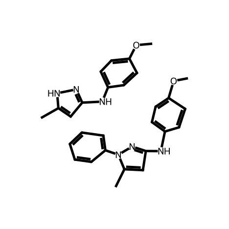 COc1ccc(Nc2cc(C)[nH]n2)cc1.COc1ccc(Nc2cc(C)n(-c3ccccc3)n2)cc1